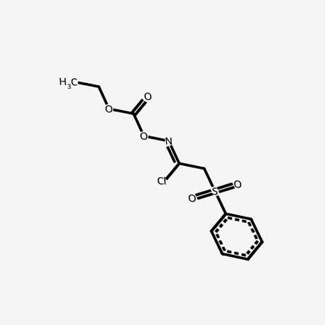 CCOC(=O)ON=C(Cl)CS(=O)(=O)c1ccccc1